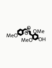 COc1ccc(CS(=O)(=O)C=Cc2c(OC)cc(O)cc2OC)cc1